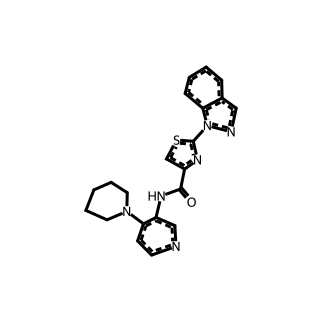 O=C(Nc1cnccc1N1CCCCC1)c1csc(-n2ncc3ccccc32)n1